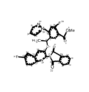 COC(=O)c1cc(C(C)Oc2cc3cc(F)ccc3nc2N2C(=O)c3ccccc3C2=O)c(-n2cccn2)cc1F